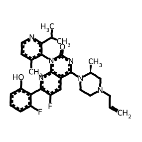 C=CCN1CCN(c2nc(=O)n(-c3c(C)ccnc3C(C)C)c3nc(-c4c(O)cccc4F)c(F)cc23)[C@@H](C)C1